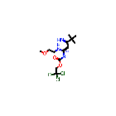 COCCN/C(=C\C(=N)C(C)(C)C)NC(=O)OCC(Cl)(Cl)Cl